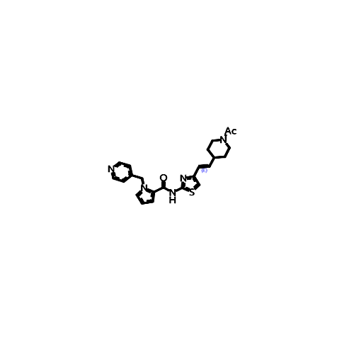 CC(=O)N1CCC(/C=C/c2csc(NC(=O)c3cccn3Cc3ccncc3)n2)CC1